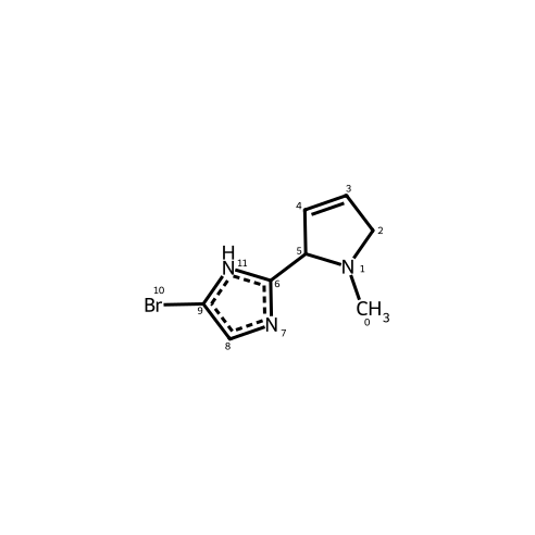 CN1CC=CC1c1ncc(Br)[nH]1